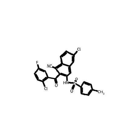 Cc1ccc(S(=O)(=O)Nc2cc3cc(Cl)ccc3c(C#N)c2C(=O)c2cc(F)ccc2Cl)cc1